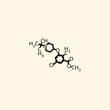 COC(=O)c1cc(Cl)cc(OC2CCN(C(C)(C)C)CC2)c1C